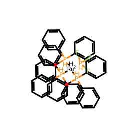 F[PH](F)(F)[RuH2]([PH](c1ccccc1)(c1ccccc1)c1ccccc1)([PH](c1ccccc1)(c1ccccc1)c1ccccc1)[PH](c1ccccc1)(c1ccccc1)c1ccccc1